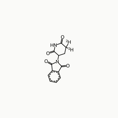 [2H]C1([2H])CC(N2C(=O)c3ccccc3C2=O)C(=O)NC1=O